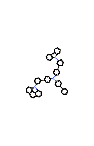 c1ccc(-c2ccc(N(c3ccc(-c4cccc(-n5c6ccccc6c6ccccc65)c4)cc3)c3ccc(-c4cccc(-n5c6cccc7ccc8cccc5c8c76)c4)cc3)cc2)cc1